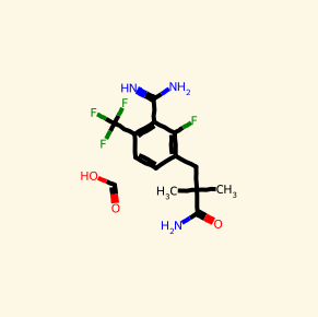 CC(C)(Cc1ccc(C(F)(F)F)c(C(=N)N)c1F)C(N)=O.O=CO